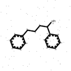 [CH2]CCC(CCCc1ccccc1)c1ccccc1